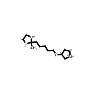 CC1(CCCCCOC2CCNC2)OCCO1